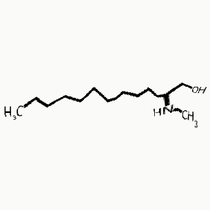 CCCCCCCCCCC(CO)NC